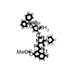 CCc1c(F)ccc2cc(OCOC)cc(-c3ncc4c(N5CCCCC5)nc(OC[C@@H]5C[C@@H](O[Si](c6ccccc6)(c6ccccc6)C(C)(C)C)CN5C)nc4c3F)c12